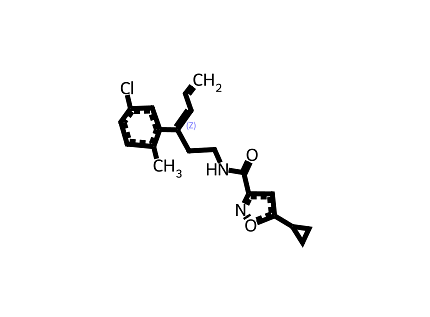 C=C/C=C(/CCNC(=O)c1cc(C2CC2)on1)c1cc(Cl)ccc1C